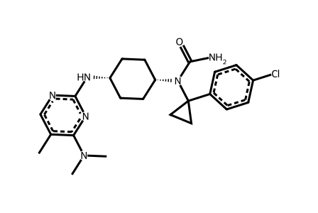 Cc1cnc(N[C@H]2CC[C@@H](N(C(N)=O)C3(c4ccc(Cl)cc4)CC3)CC2)nc1N(C)C